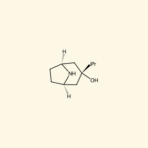 CC(C)[C@@]1(O)C[C@H]2CC[C@@H](C1)N2